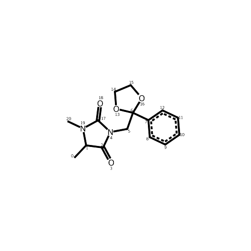 CC1C(=O)N(CC2(c3ccccc3)OCCO2)C(=O)N1C